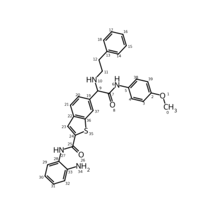 COc1ccc(NC(=O)C(NCCc2ccccc2)c2ccc3cc(C(=O)Nc4ccccc4N)sc3c2)cc1